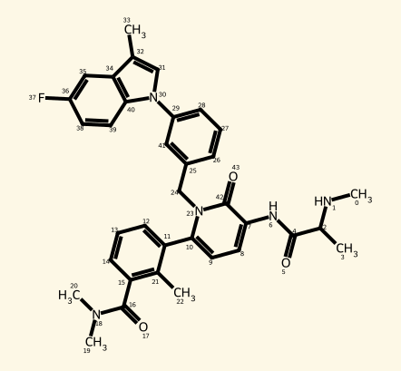 CNC(C)C(=O)Nc1ccc(-c2cccc(C(=O)N(C)C)c2C)n(Cc2cccc(-n3cc(C)c4cc(F)ccc43)c2)c1=O